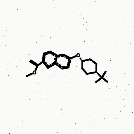 C=C(OC)c1ccc2cc(O[C@H]3CC[C@H](C(C)(C)C)CC3)ccc2c1